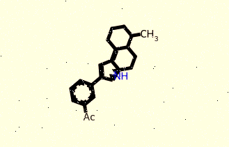 CC(=O)c1cccc(C2=CC3=C4CCCC(C)C4CCC34CNC=C24)c1